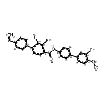 C=Cc1ccc(-c2ccc(C(=O)Oc3ccc(-c4ccc(OCC)c(F)c4)cc3)c(F)c2F)cc1